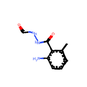 Cc1cccc(N)c1C(=O)NNC=O